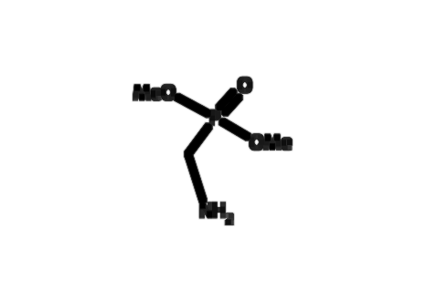 COP(=O)(CN)OC